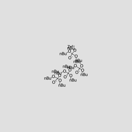 CCCCOC([O-])(OCCCC)OCCCC.CCCCOC([O-])(OCCCC)OCCCC.CCCCOC([O-])(OCCCC)OCCCC.CCCCOC([O-])(OCCCC)OCCCC.[Zr+4]